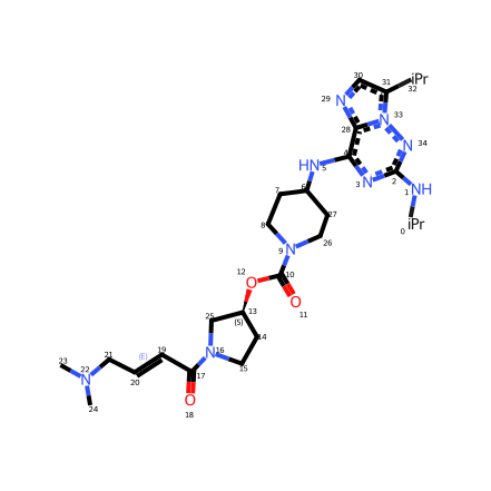 CC(C)Nc1nc(NC2CCN(C(=O)O[C@H]3CCN(C(=O)/C=C/CN(C)C)C3)CC2)c2ncc(C(C)C)n2n1